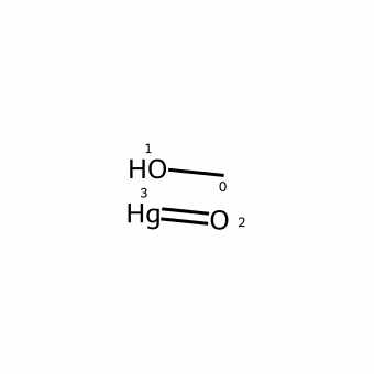 CO.[O]=[Hg]